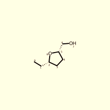 CC[C@H]1CC[C@@H](CO)O1